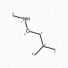 CNOCC(C)C